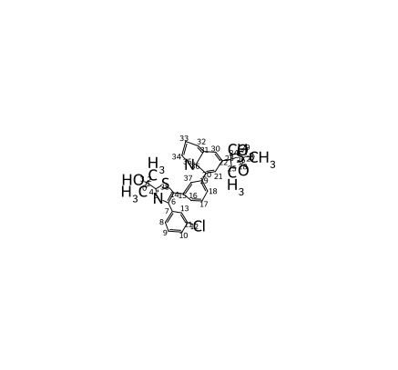 CC(C)(O)c1nc(-c2cccc(Cl)c2)c(-c2cccc(-c3cc(C(C)(C)S(C)(=O)=O)cc4cccnc34)c2)s1